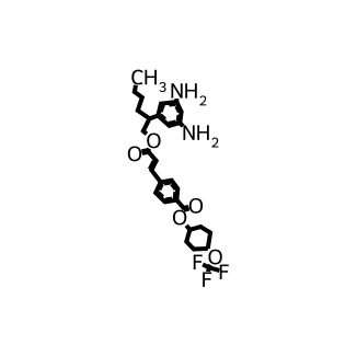 CCCCC(COC(=O)C=Cc1ccc(C(=O)OC2CCC(OC(F)(F)F)CC2)cc1)c1cc(N)cc(N)c1